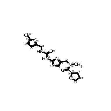 CN(Cc1csc(NC(=O)NCc2ccc(Cl)s2)n1)C(=O)[C@H]1CCCO1